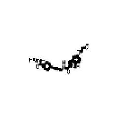 COCCOc1ccc2[nH]c(C(=O)NCC#Cc3ccc(C(=O)NO)cc3)cc2c1